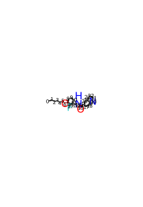 C=CCCCCOc1cccc(CNC(=O)c2ccc3ncccc3c2)c1F